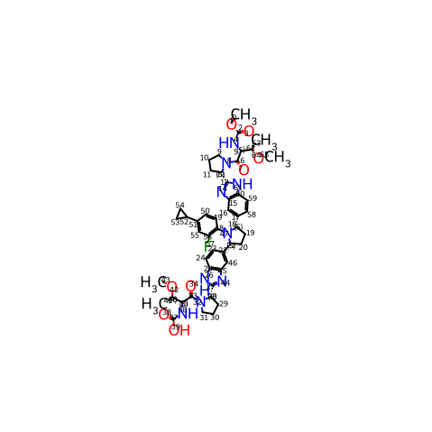 COC(=O)N[C@H](C(=O)N1CCC[C@H]1c1nc2cc([C@@H]3CC[C@@H](c4ccc5[nH]c([C@@H]6CCCN6C(=O)[C@@H](NC(=O)O)[C@@H](C)OC)nc5c4)N3c3ccc(C4CC4)cc3F)ccc2[nH]1)C(C)OC